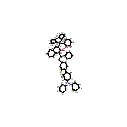 c1ccc(C(Cc2ccc3c(c2)sc2cc(N(c4ccccc4)c4ccccc4)ccc23)c2c3c(cc4ccccc24)C2(c4ccccc4O3)c3ccccc3-c3ccccc32)cc1